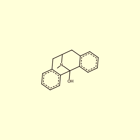 CN1C2Cc3ccccc3C1(O)c1ccccc1C2